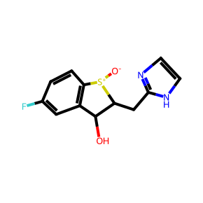 [O-][S+]1c2ccc(F)cc2C(O)C1Cc1ncc[nH]1